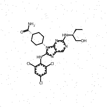 CC[C@@H](CO)Nc1ncc2nc(Nc3c(Cl)cc(Cl)cc3Cl)n([C@H]3CC[C@@H](C(N)=O)CC3)c2n1